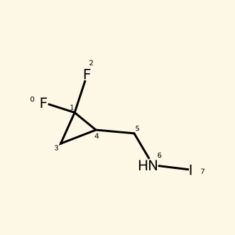 FC1(F)CC1CNI